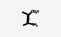 C/C(N)=C(\C)C(=O)O